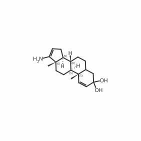 C[C@]12C=CC(O)(O)CC1CC[C@@H]1[C@@H]2CC[C@]2(C)C(N)=CC[C@@H]12